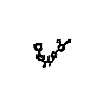 CC(Cn1ccc(-c2ccc(C#N)c(Cl)c2)n1)NC(=O)c1csc(-c2cccnc2)n1